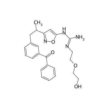 CC(Cc1cccc(C(=O)c2ccccc2)c1)c1cc(NC(N)=NCCOCCO)on1